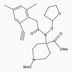 C#Cc1cc(C)cc(C)c1CC(=O)N(OC1CCCO1)C1(C(=O)OC)CCN(OC)CC1